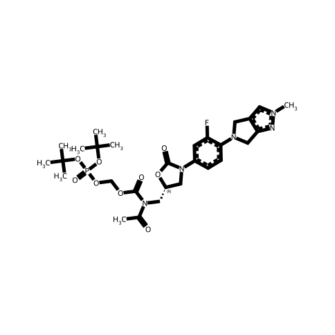 CC(=O)N(C[C@H]1CN(c2ccc(N3Cc4cn(C)nc4C3)c(F)c2)C(=O)O1)C(=O)OCOP(=O)(OC(C)(C)C)OC(C)(C)C